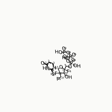 O=c1ccn([C@@H]2O[C@](F)(COP(=O)(O)OP(=O)(O)OP(=O)(O)O)C(O)[C@]2(F)CF)c(=S)[nH]1